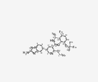 [2H]COc1ncc(-c2ccn3nc(N)nc3c2)cc1C(=O)NC([2H])c1cc(OC(F)(F)F)ccc1F